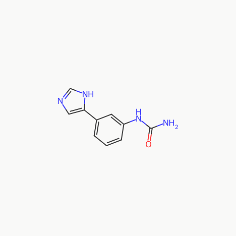 NC(=O)Nc1cccc(-c2cnc[nH]2)c1